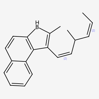 C/C=C\C(C)/C=C\C1=C(C)Bc2ccc3ccccc3c21